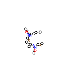 c1ccc(-c2ccc3cc(-c4cc(-c5cc6ccccc6o5)nc(-c5ccc6c(c5)sc5c(-c7ccc(-c8cc(-c9cc%10ccccc%10o9)nc(-c9ccc%10c(c9)sc9ccccc9%10)n8)c8ccccc78)cccc56)n4)ccc3c2)cc1